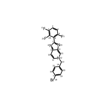 Fc1ccc(F)c(-c2nc3ccn(Cc4ccc(Br)cc4)cc-3n2)c1F